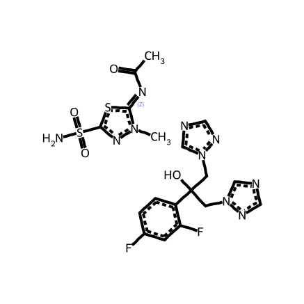 CC(=O)/N=c1\sc(S(N)(=O)=O)nn1C.OC(Cn1cncn1)(Cn1cncn1)c1ccc(F)cc1F